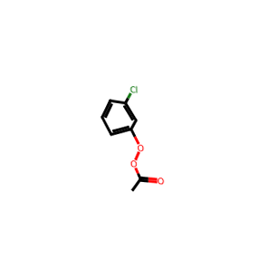 CC(=O)OOc1cccc(Cl)c1